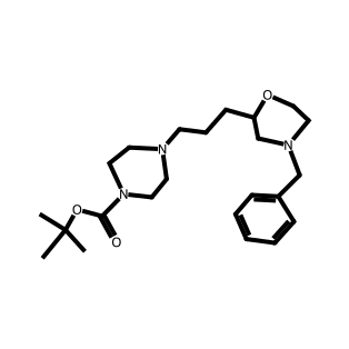 CC(C)(C)OC(=O)N1CCN(CCCC2CN(Cc3ccccc3)CCO2)CC1